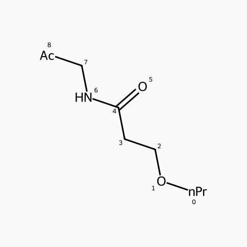 CCCOCCC(=O)NCC(C)=O